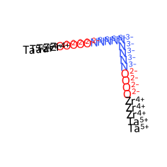 [N-3].[N-3].[N-3].[N-3].[N-3].[N-3].[N-3].[N-3].[N-3].[O-2].[O-2].[O-2].[O-2].[O-2].[O-2].[O-2].[O-2].[O-2].[Ta+5].[Ta+5].[Ta+5].[Ta+5].[Ta+5].[Zr+4].[Zr+4].[Zr+4].[Zr+4].[Zr+4]